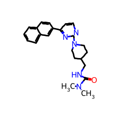 CN(C)C(=O)NCC1CCN(c2nccc(-c3ccc4ccccc4c3)n2)CC1